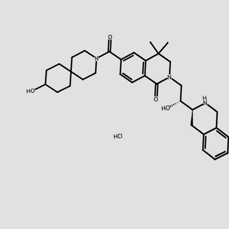 CC1(C)CN(C[C@@H](O)[C@@H]2Cc3ccccc3CN2)C(=O)c2ccc(C(=O)N3CCC4(CCC(O)CC4)CC3)cc21.Cl